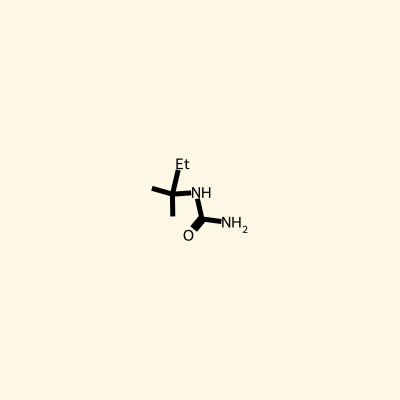 CCC(C)(C)NC(N)=O